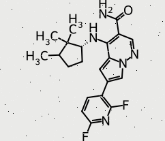 CC1CC[C@@H](Nc2c(C(N)=O)cnn3cc(-c4ccc(F)nc4F)cc23)C1(C)C